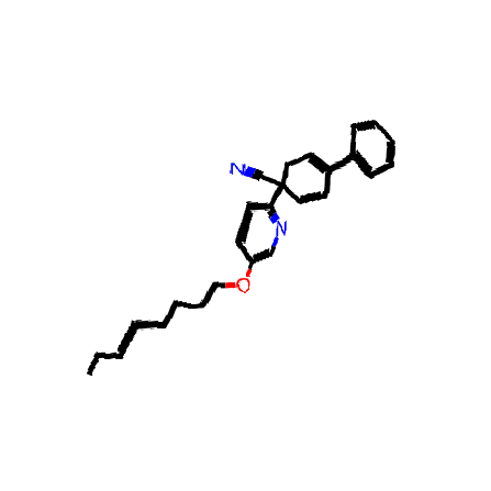 CCC=CCCCCOc1ccc(C2(C#N)C=CC(c3ccccc3)=CC2)nc1